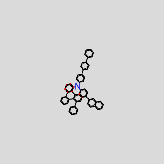 c1ccc(-c2ccc(-c3ccc(N(c4ccc(-c5ccc6ccccc6c5)cc4)c4ccccc4-c4cccc(-c5ccccc5)c4-c4ccccc4-c4ccccc4)cc3)cc2)cc1